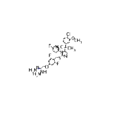 COc1cc(C(C)(C)c2cnc(SCc3c(F)cc(OC/C(=N/N)NN)cc3F)n2-c2ccc(F)cc2)ccc1Cl